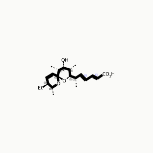 CC[C@H]1C=C[C@@]2(O[C@@H]([C@@H](C)/C=C/C=C/C(=O)O)[C@@H](C)[C@@H](O)[C@H]2C)O[C@@H]1C